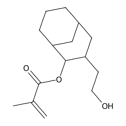 C=C(C)C(=O)OC1C(CCO)CC2CCCC1C2